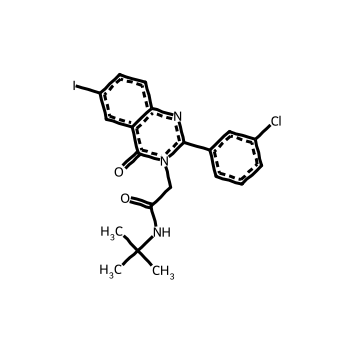 CC(C)(C)NC(=O)Cn1c(-c2cccc(Cl)c2)nc2ccc(I)cc2c1=O